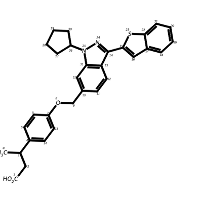 CC(CC(=O)O)c1ccc(OCc2ccc3c(-c4cc5ccccc5s4)nn(C4CCCC4)c3c2)cc1